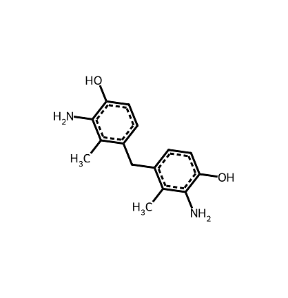 Cc1c(Cc2ccc(O)c(N)c2C)ccc(O)c1N